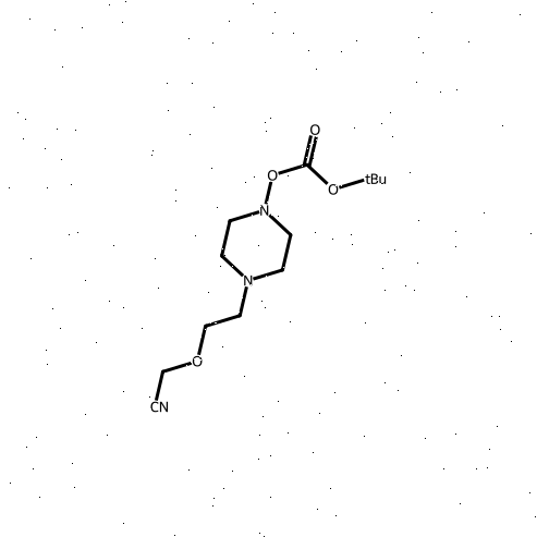 CC(C)(C)OC(=O)ON1CCN(CCOCC#N)CC1